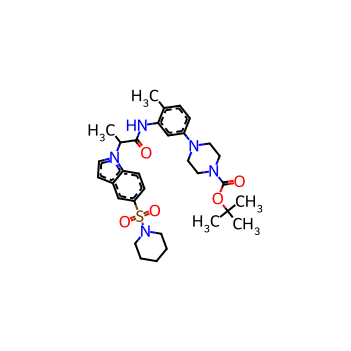 Cc1ccc(N2CCN(C(=O)OC(C)(C)C)CC2)cc1NC(=O)C(C)n1ccc2cc(S(=O)(=O)N3CCCCC3)ccc21